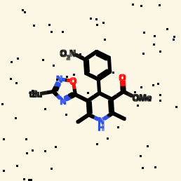 COC(=O)C1=C(C)NC(C)=C(c2nc(C(C)(C)C)no2)C1c1cccc([N+](=O)[O-])c1